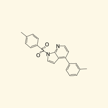 Cc1ccc(S(=O)(=O)n2ccc3c(-c4cccc(C)c4)ccnc32)cc1